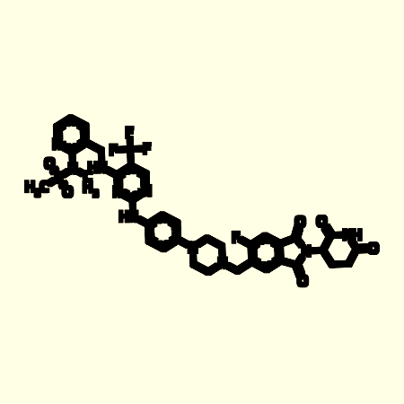 CN(c1ncccc1CNc1nc(Nc2ccc(N3CCN(Cc4cc5c(cc4F)C(=O)N(C4CCC(=O)NC4=O)C5=O)CC3)cc2)ncc1C(F)(F)F)S(C)(=O)=O